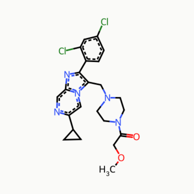 COCC(=O)N1CCN(Cc2c(-c3ccc(Cl)cc3Cl)nc3cnc(C4CC4)cn23)CC1